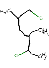 CC(CCl)CC(C)C(C)Cl